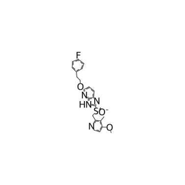 COc1ccnc(C[S+]([O-])c2nc3ccc(OCCc4ccc(F)cc4)nc3[nH]2)c1C